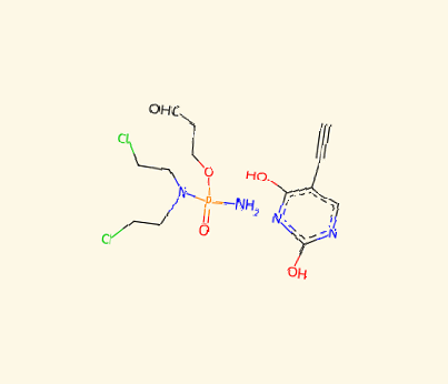 C#Cc1cnc(O)nc1O.NP(=O)(OCCC=O)N(CCCl)CCCl